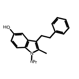 CCCn1c(C)c(CCc2ccccc2)c2cc(O)ccc21